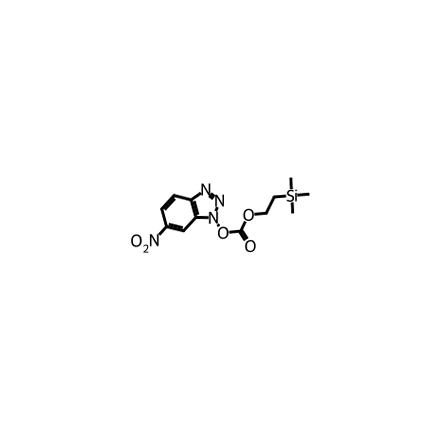 C[Si](C)(C)CCOC(=O)On1nnc2ccc([N+](=O)[O-])cc21